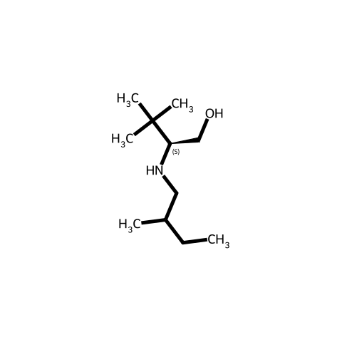 CCC(C)CN[C@H](CO)C(C)(C)C